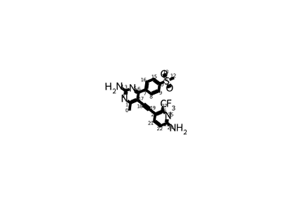 Cc1nc(N)nc(-c2ccc(S(C)(=O)=O)cc2)c1C#Cc1ccc(N)nc1C(F)(F)F